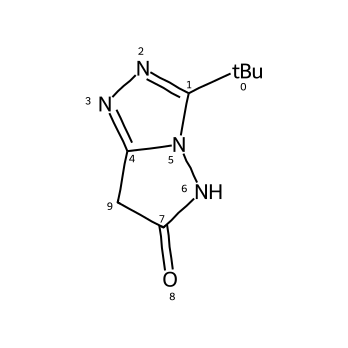 CC(C)(C)c1nnc2n1NC(=O)C2